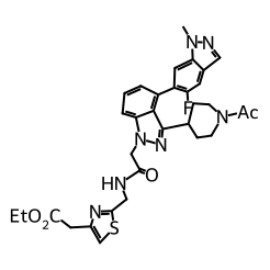 CCOC(=O)Cc1csc(CNC(=O)Cn2nc(C3CCN(C(C)=O)CC3)c3c(-c4cc5c(cnn5C)cc4F)cccc32)n1